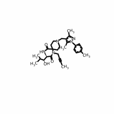 CC#CCN1C(=O)[C@@H]([C@H](O)C(C)C)NC(=O)C12CCN(Cc1c(C)nn(-c3ccc(C)cc3)c1C)CC2